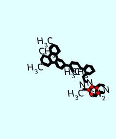 C=C/C(=N\C(Cc1ccccc1C(C)/C=C\C(=C/C)c1ccc2c3c(c4cc(C)ccc4c2c1)C(C)CC(C)=C3)=N/C(C)c1ccncc1)c1ccncc1